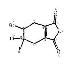 O=C1OC(=O)C2=C1CC(Br)C(F)(Cl)C2